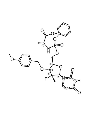 COc1ccc(CO[C@@H]2[C@@H](COP(=O)(N[C@@H](C)C(=O)O)Oc3ccccc3)O[C@@H](n3ccc(=O)[nH]c3=O)[C@]2(C)F)cc1